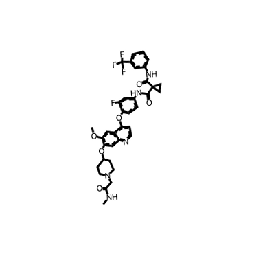 CNC(=O)CN1CCC(Oc2cc3nccc(Oc4ccc(NC(=O)C5(C(=O)Nc6cccc(C(F)(F)F)c6)CC5)cc4F)c3cc2OC)CC1